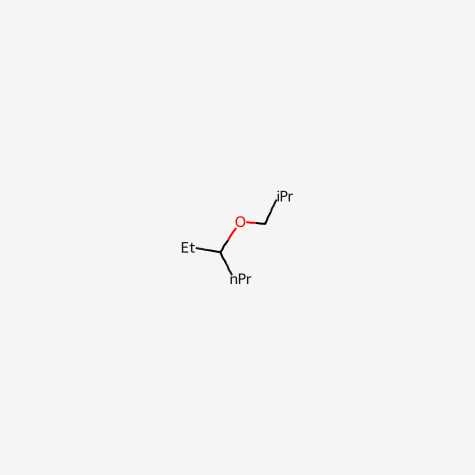 [CH2]CC(CCC)OCC(C)C